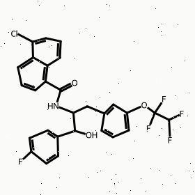 O=C(NC(Cc1cccc(OC(F)(F)C(F)F)c1)C(O)c1ccc(F)cc1)c1cccc2c(Cl)cccc12